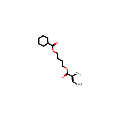 C/C(=C\C(=O)O)C(=O)OCCCCOC(=O)C1CCCCC1